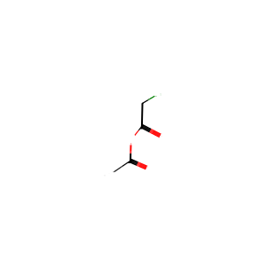 CCCC(=O)OC(=O)CBr